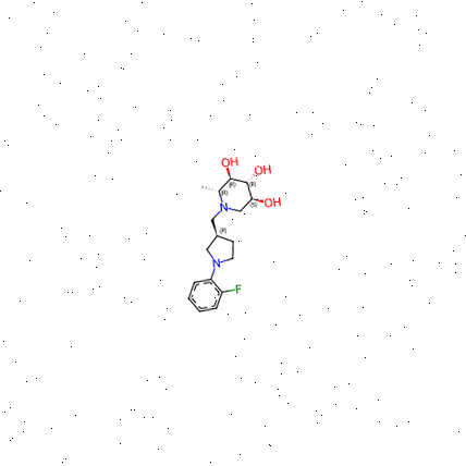 C[C@@H]1[C@@H](O)[C@H](O)[C@@H](O)CN1C[C@H]1CCN(c2ccccc2F)C1